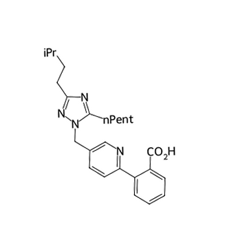 CCCCCc1nc(CCC(C)C)nn1Cc1ccc(-c2ccccc2C(=O)O)nc1